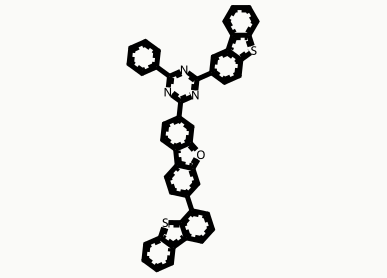 c1ccc(-c2nc(-c3ccc4c(c3)oc3cc(-c5cccc6c5sc5ccccc56)ccc34)nc(-c3ccc4sc5ccccc5c4c3)n2)cc1